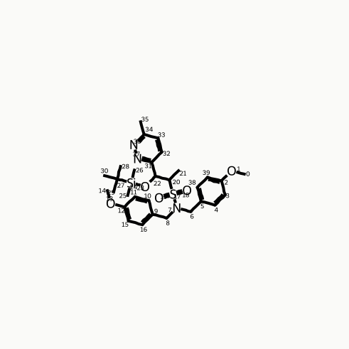 COc1ccc(CN(Cc2ccc(OC)cc2)S(=O)(=O)C(C)C(O[Si](C)(C)C(C)(C)C)c2ccc(C)nn2)cc1